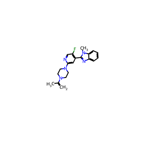 C=C(C)N1CCN(c2cc(-c3nc4ccccc4n3C)c(F)cn2)CC1